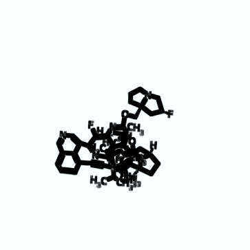 CC(C)[Si](C#Cc1cccc2cncc(-c3nc4c5c(nc(OC[C@@]67CCCN6C[C@H](F)C7)nc5c3F)N3C[C@H]5CC[C@@H]([C@H]3[C@H](C)O4)N5C(=O)OC(C)(C)C)c12)(C(C)C)C(C)C